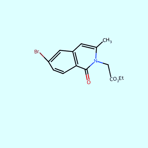 CCOC(=O)Cn1c(C)cc2cc(Br)ccc2c1=O